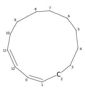 C1=CCCCCCCCCCC=C1